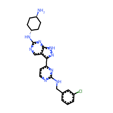 N[C@H]1CC[C@H](Nc2ncc3c(-c4ccnc(NCc5cccc(Cl)c5)n4)n[nH]c3n2)CC1